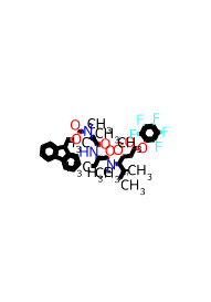 CC[C@H](C)C(C(CC(=O)Oc1c(F)c(F)c(F)c(F)c1F)OC)N(C)C(=O)[C@@H](NC(=O)C(C)(C)N(C)C(=O)OCC1c2ccccc2-c2ccccc21)C(C)C